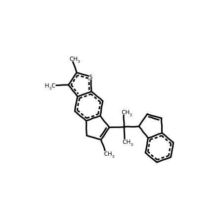 CC1=C(C(C)(C)C2C=Cc3ccccc32)c2cc3sc(C)c(C)c3cc2C1